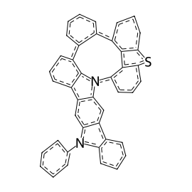 c1ccc(-n2c3ccccc3c3cc4c(cc32)c2cccc3c5ccccc5c5cccc6sc7cccc(c7c65)n4c32)cc1